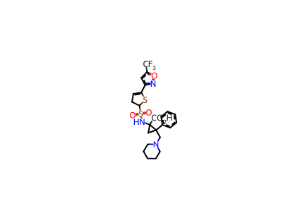 O=C(O)C1(NS(=O)(=O)C2CC=C(c3cc(C(F)(F)F)on3)S2)CC1(CN1CCCCC1)c1ccccc1